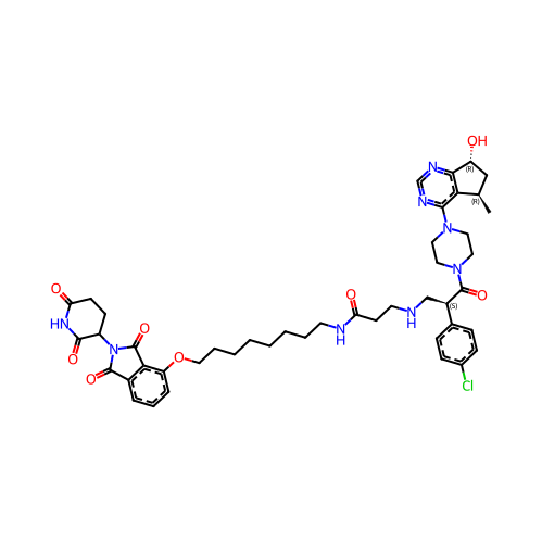 C[C@@H]1C[C@@H](O)c2ncnc(N3CCN(C(=O)[C@H](CNCCC(=O)NCCCCCCCCOc4cccc5c4C(=O)N(C4CCC(=O)NC4=O)C5=O)c4ccc(Cl)cc4)CC3)c21